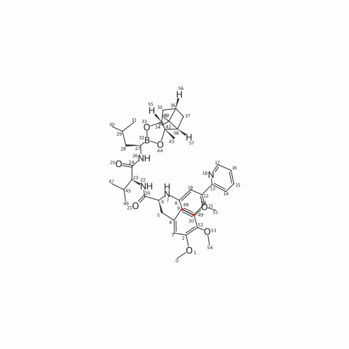 COc1cc(C[C@H](Nc2cccc(-c3ccccn3)c2)C(=O)N[C@H](C(=O)N[C@@H](CC(C)C)B2O[C@@H]3C[C@@H]4C[C@@H](C4(C)C)[C@]3(C)O2)C(C)C)cc(OC)c1OC